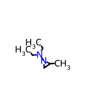 CCN(CC)N1CC1C